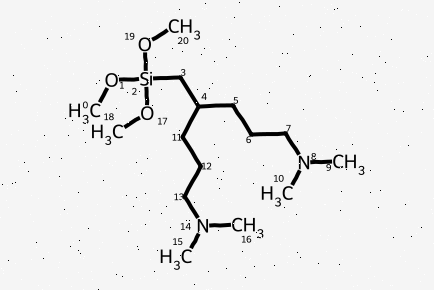 CO[Si](CC(CCCN(C)C)CCCN(C)C)(OC)OC